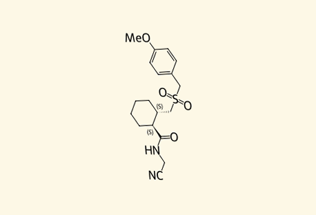 COc1ccc(CS(=O)(=O)C[C@H]2CCCC[C@@H]2C(=O)NCC#N)cc1